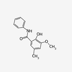 COc1cc(C)cc(C(=O)Nc2ccccc2)c1O